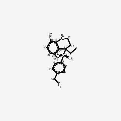 CCC1(S(=O)(=O)c2ccc(CF)cc2)CCOc2c(F)ccc(F)c21